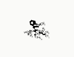 CCOC(=O)[C@@H](Cc1cn(C)c2ccccc12)NC(=O)[C@@H](N)CC(C)C.CS(=O)(=O)O